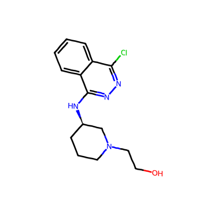 OCCN1CCC[C@@H](Nc2nnc(Cl)c3ccccc23)C1